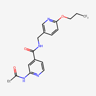 CCC(=O)Nc1cc(C(=O)NCc2ccc(OCCC(F)(F)F)nc2)ccn1